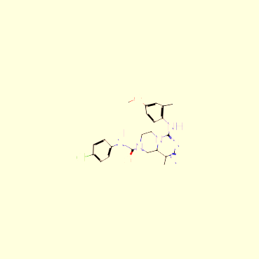 COc1ccc(N/C(=N/C#N)N2CCN(C(=O)Nc3ccc(Cl)cc3)CC2C(C)C)c(C)c1